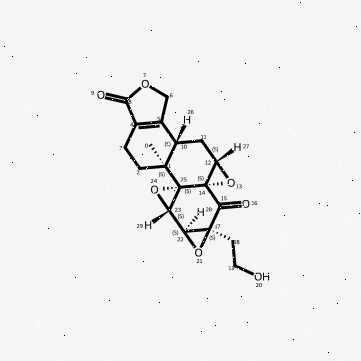 C[C@]12CCC3=C(COC3=O)[C@@H]1C[C@@H]1O[C@@]13C(=O)[C@@]1(CCO)O[C@H]1[C@@H]1O[C@]123